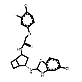 O=C(COc1ccc(Cl)c(F)c1)NC1C[C@H](NC2Nc3cc(Cl)ccc3O2)C2CCC12